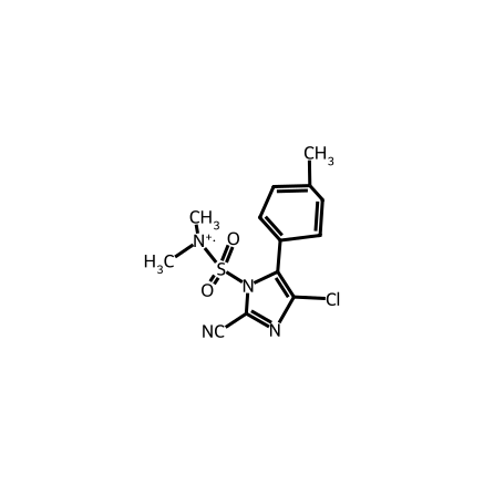 Cc1ccc(-c2c(Cl)nc(C#N)n2S(=O)(=O)[N+](C)C)cc1